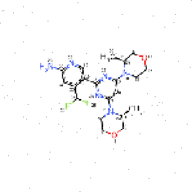 C[C@H]1COCCN1c1cc(N2CCOC[C@@H]2C)nc(-c2cnc(N)cc2C(F)F)n1